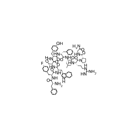 CC(C)C[C@H](NC(=O)[C@@H](Cc1ccccc1)NC(=O)[C@H](Cc1ccc(O)cc1)NC(=O)[C@H](CO)NC(=O)[C@@H](Cc1c[nH]c2ccccc12)NC(=O)[C@H](Cc1ccc(F)cc1)NC(=O)[C@H](N)Cc1ccccc1)C(=O)N[C@@H](CCCNC(=N)N)C(=O)N1CCC[C@H]1C(=O)NCC(N)=O